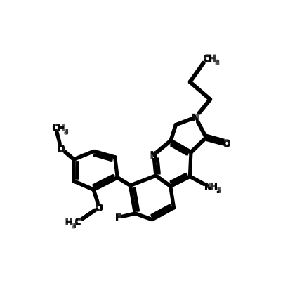 CCCN1Cc2nc3c(-c4ccc(OC)cc4OC)c(F)ccc3c(N)c2C1=O